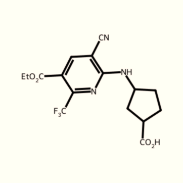 CCOC(=O)c1cc(C#N)c(NC2CCC(C(=O)O)C2)nc1C(F)(F)F